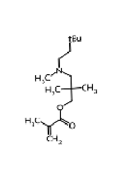 C=C(C)C(=O)OCC(C)(C)CN(C)CCC(C)(C)C